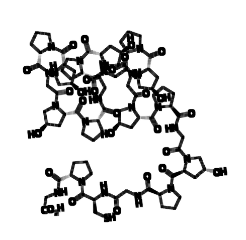 O=C(O)CNC(=O)[C@@H]1CCCN1C(=O)[C@H](CS)NC(=O)CNC(=O)[C@@H]1CCCN1C(=O)[C@@H]1C[C@@H](O)CN1C(=O)CNC(=O)[C@@H]1CCCN1C(=O)[C@@H]1C[C@@H](O)CN1C(=O)CNC(=O)[C@@H]1CCCN1C(=O)[C@@H]1C[C@@H](O)CN1C(=O)CNC(=O)[C@@H]1CCCN1C(=O)[C@@H]1C[C@@H](O)CN1C(=O)CNC(=O)[C@@H]1CCCN1C(=O)[C@@H]1C[C@@H](O)CN1C(=O)CNC(=O)[C@@H]1CCCN1C(=O)[C@@H]1C[C@@H](O)CN1